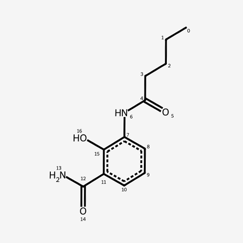 CCCCC(=O)Nc1cccc(C(N)=O)c1O